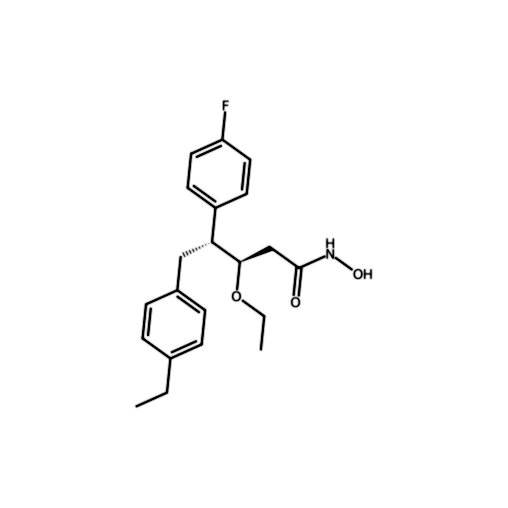 CCO[C@H](CC(=O)NO)[C@H](Cc1ccc(CC)cc1)c1ccc(F)cc1